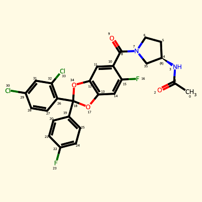 CC(=O)N[C@@H]1CCN(C(=O)c2cc3c(cc2F)OC(c2ccc(F)cc2)(c2ccc(Cl)cc2Cl)O3)C1